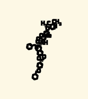 COC(=O)C(Cc1ccc(Oc2ccnc(C)c2C)cc1)NC(=O)[C@@H]1Cc2cc3c(cc2CN1Cc1ccccc1)O[C@@H](c1ccc(OCC2CCCCC2)cc1)CO3